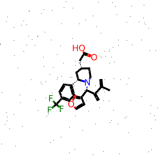 C=C(C)C(=C)[C@H](c1ccoc1)N1CC[C@@H](CC(=O)O)C[C@H]1c1ccc(C(F)(F)F)cc1